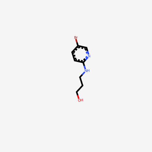 OCCCNc1ccc(Br)cn1